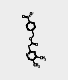 Cc1cnc(SC(=O)OCc2ccc([N+](=O)[O-])cc2)nc1C